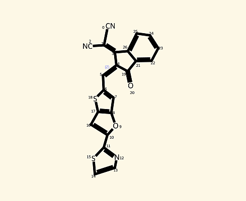 N#CC(C#N)=C1/C(=C/c2cc3oc(-c4nccs4)cc3s2)C(=O)c2ccccc21